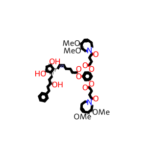 CO[C@H]1C#CCCN(C(=O)CCC(=O)Oc2cc(OC(=O)CCC/C=C\C[C@@H]3[C@@H](CC[C@@H](O)CCc4ccccc4)[C@H](O)C[C@@H]3O)cc(OC(=O)CCC(=O)N3CCC#C[C@H](OC)[C@@H](OC)C3)c2)C[C@@H]1OC